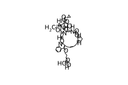 C=C[C@@H]1C[C@]1(NC(=O)[C@@H]1C[C@@H]2CN1C(=O)[C@H](C1CCCC1)NC(=O)O[C@@H]1CCC[C@H]1CCC=CCc1c(nc3ccccc3c1OCCCO[PH](=O)O)O2)C(=O)NS(=O)(=O)C1CC1